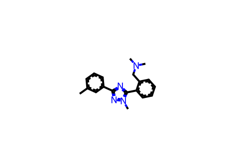 Cc1cccc(-c2nc(-c3ccccc3CN(C)C)n(C)n2)c1